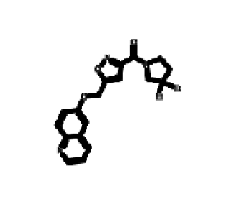 CCC1(CC)CCN(C(=O)c2cc(COc3ccc4ncccc4c3)on2)C1